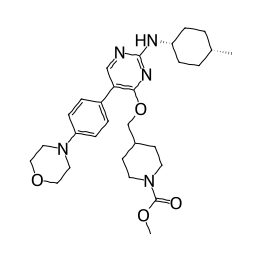 COC(=O)N1CCC(COc2nc(N[C@H]3CC[C@@H](C)CC3)ncc2-c2ccc(N3CCOCC3)cc2)CC1